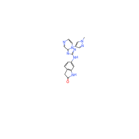 Cn1cc([N+]23C=CN=CC2=NC(Nc2ccc4c(c2)NC(=O)C4)=N3)cn1